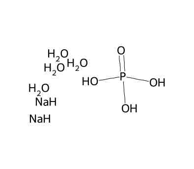 O.O.O.O.O=P(O)(O)O.[NaH].[NaH]